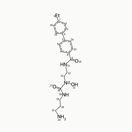 CCc1ccc(-c2ccc(C(=O)NCCN(O)C(=O)NCCCN)cc2)cc1